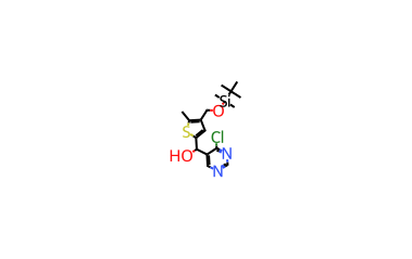 Cc1sc(C(O)c2cncnc2Cl)cc1CO[Si](C)(C)C(C)(C)C